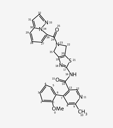 COc1ccccc1-c1cc(C)ncc1C(=O)Nc1nc2c(s1)CN(C(=O)c1cccc3ccnn13)C2